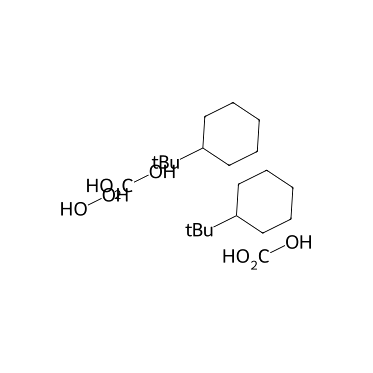 CC(C)(C)C1CCCCC1.CC(C)(C)C1CCCCC1.O=C(O)O.O=C(O)O.OO